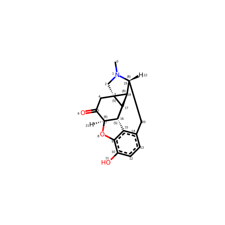 CN1C[C@@]23CC(=O)[C@@H]4Oc5c(O)ccc6c5[C@@]45C2[C@@]35[C@H]1C6